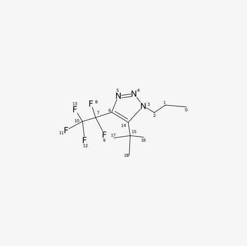 CCCn1nnc(C(F)(F)C(F)(F)F)c1C(C)(C)C